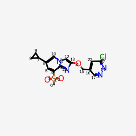 CS(=O)(=O)c1cc(C2CC2)cn2cc(OCc3cnnc(Cl)c3)nc12